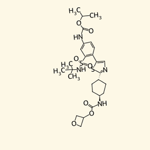 CC(C)OC(=O)Nc1ccc(-c2cnc([C@H]3CC[C@H](NC(=O)OC4COC4)CC3)s2)c(S(=O)(=O)NC(C)(C)C)c1